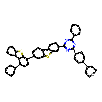 c1ccc(-c2ccc(-c3nc(-c4ccccc4)nc(-c4ccc5c(c4)sc4cc(-c6ccc(-c7ccccc7)c7c6sc6ccccc67)ccc45)n3)cc2)cc1